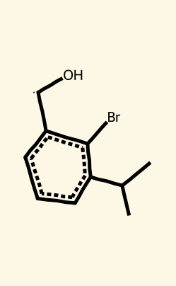 CC(C)c1cccc([CH]O)c1Br